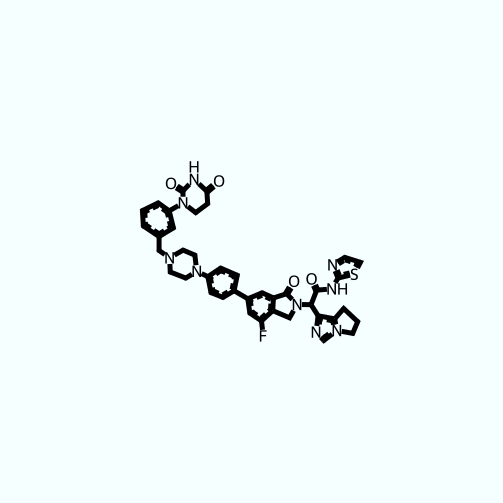 O=C1CCN(c2cccc(CN3CCN(c4ccc(-c5cc(F)c6c(c5)C(=O)N(C(C(=O)Nc5nccs5)c5ncn7c5CCC7)C6)cc4)CC3)c2)C(=O)N1